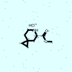 COC(=O)[C@@H]1CC2(CCN1)CC2.Cl